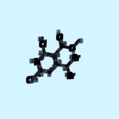 COC(=O)c1c(C(Br)Br)cc(Cl)nc1Cl